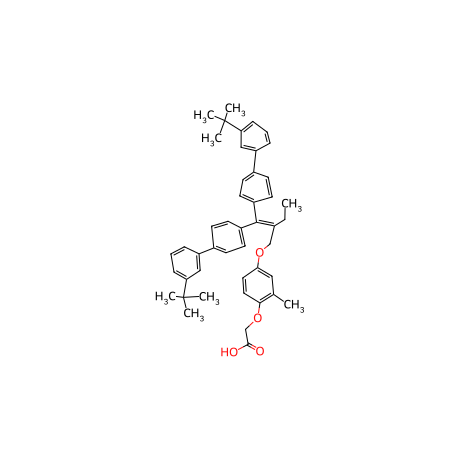 CCC(COc1ccc(OCC(=O)O)c(C)c1)=C(c1ccc(-c2cccc(C(C)(C)C)c2)cc1)c1ccc(-c2cccc(C(C)(C)C)c2)cc1